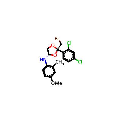 COc1ccc(N[C@@H]2CO[C@](CBr)(c3ccc(Cl)cc3Cl)O2)c(C)c1